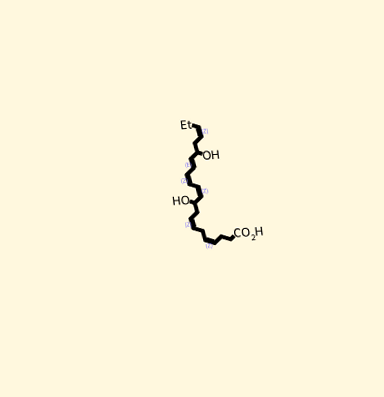 CC/C=C\CC(O)/C=C/C=C\C=C/C(O)C/C=C\C/C=C\CCC(=O)O